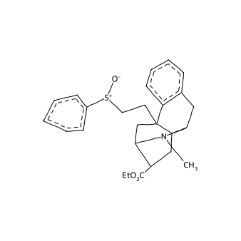 CCOC(=O)C1CC2C3Cc4ccccc4C2(CC[S+]([O-])c2ccccc2)CC1N3C